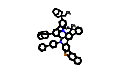 CCC1(c2ccc3c(c2)c2cc(C45CC6CC(CC(C6)C4)C5)cc4c2n3-c2c3c(cc5c2C(C)(C)c2ccccc2-5)-c2cc5c(cc2N(c2ccc(-c6ccccc6)cc2)B34)sc2cc3ccccc3cc25)CC2CCC(C2)C1